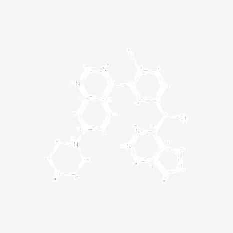 OC(c1ccc(F)c(-c2ncnc3cc(N4CCOCC4)ccc23)c1)c1nncc2sccc12